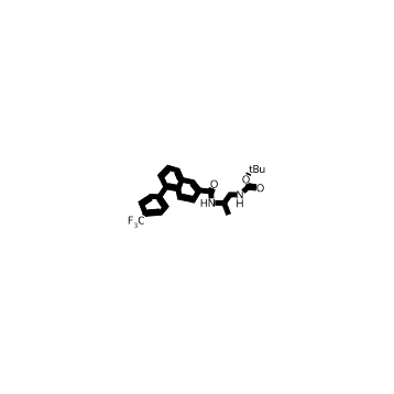 CC(CNC(=O)OC(C)(C)C)NC(=O)c1ccc2c(-c3ccc(C(F)(F)F)cc3)cccc2c1